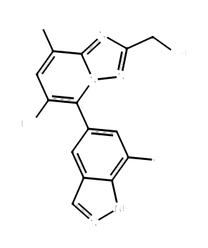 CCc1nc2c(Cl)cc(C)c(-c3cc(Cl)c4[nH]ncc4c3)n2n1